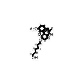 CC(=O)Oc1ccc2c3c1OC1C(OCCCCCCO)C=C[C@H]4[C@@H](C2)N(C)CC[C@]314